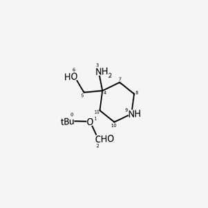 CC(C)(C)OC=O.NC1(CO)CCNCC1